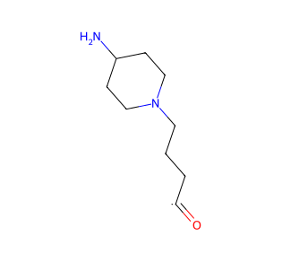 NC1CCN(CCC[C]=O)CC1